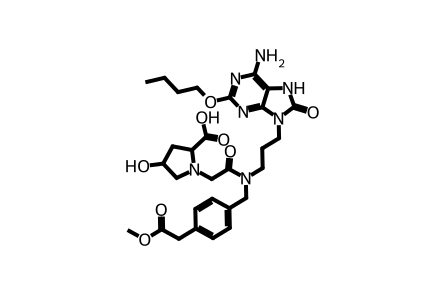 CCCCOc1nc(N)c2[nH]c(=O)n(CCCN(Cc3ccc(CC(=O)OC)cc3)C(=O)CN3CC(O)CC3C(=O)O)c2n1